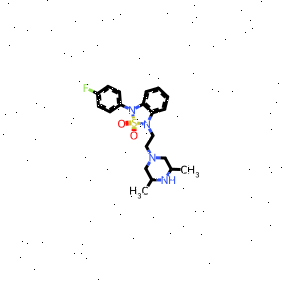 CC1CN(CCN2c3ccccc3N(c3ccc(F)cc3)S2(=O)=O)CC(C)N1